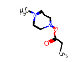 CCC(=O)ON1CCN(C)CC1